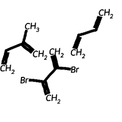 C=C(Br)C(=C)Br.C=CC(=C)C.C=CC=C